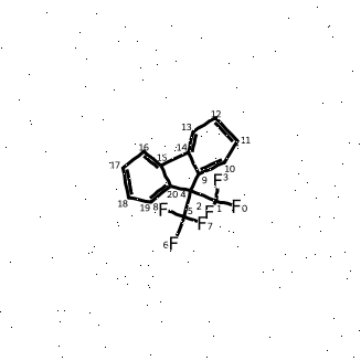 FC(F)(F)C1(C(F)(F)F)c2c[c]ccc2-c2ccccc21